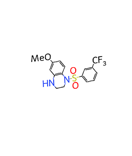 COc1ccc2c(c1)NCCN2S(=O)(=O)c1cccc(C(F)(F)F)c1